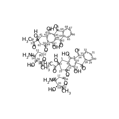 CC(=O)[C@]1(O)Cc2c(O)c3c(c(O)c2[C@@H](O[C@H]2C[C@H](N)[C@H](O)[C@H](C)O2)C1)C(=O)c1ccccc1C3=O.CC(=O)[C@]1(O)Cc2c(O)c3c(c(O)c2[C@@H](O[C@H]2C[C@H](N)[C@H](O)[C@H](C)O2)C1)C(=O)c1ccccc1C3=O